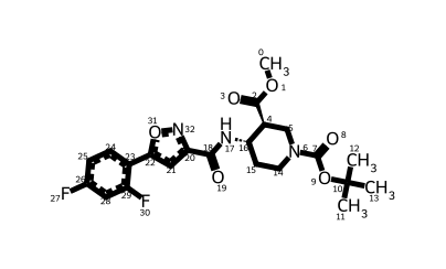 COC(=O)[C@H]1CN(C(=O)OC(C)(C)C)CC[C@@H]1NC(=O)c1cc(-c2ccc(F)cc2F)on1